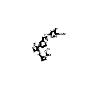 COc1nnc(Nc2cc3cc(-c4c(OCC5CCN5C(=O)OC(C)(C)C)cnn4C)ccn3n2)cc1C